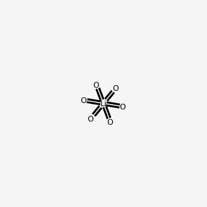 [O]=[Li](=[O])(=[O])(=[O])(=[O])=[O]